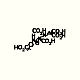 CC(C)(C(=O)O)c1ccc(NC(=O)CN(CCN(CCN(CC(=O)O)CC(=O)O)CC(=O)O)CC(=O)O)cc1